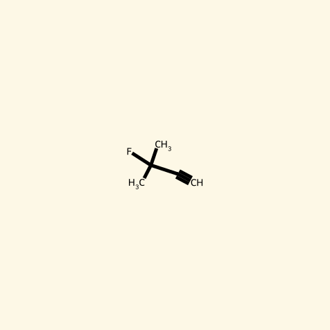 C#CC(C)(C)F